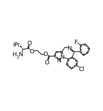 CC(C)[C@H](N)C(=O)OCCOC(=O)c1cc2n(n1)-c1ccc(Cl)cc1C(c1ccccc1F)=NC2